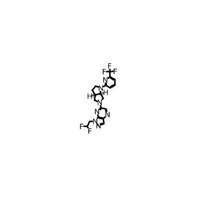 FC(F)Cn1ncc2ncc(N3C[C@H]4CCN(c5cccc(C(F)(F)F)n5)[C@H]4C3)nc21